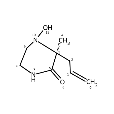 C=CC[C@@]1(C)C(=O)NCCN1O